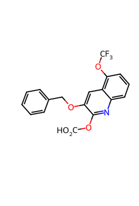 O=C(O)Oc1nc2cccc(OC(F)(F)F)c2cc1OCc1ccccc1